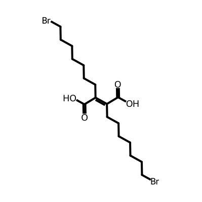 O=C(O)/C(CCCCCCCBr)=C(\CCCCCCCBr)C(=O)O